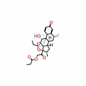 CCC(=O)OCC(=O)[C@@]1(OC(=O)CC)[C@H](C)C[C@H]2[C@@H]3C[C@H](F)C4=CC(=O)C=C[C@]4(C)[C@@]3(F)[C@@H](O)C[C@@]21C